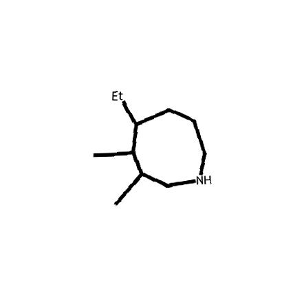 CCC1CCCNCC(C)C1C